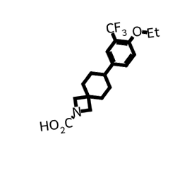 CCOc1ccc(C2CCC3(CC2)CN(C(=O)O)C3)cc1C(F)(F)F